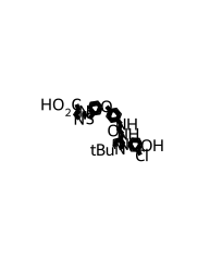 CC(C)(C)c1cc(NC(=O)Nc2ccc(Oc3ccc4c(c3)sc3ncc(C(=O)O)n34)cc2)n(-c2ccc(O)c(Cl)c2)n1